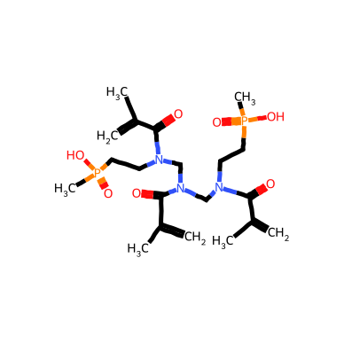 C=C(C)C(=O)N(CCP(C)(=O)O)CN(CN(CCP(C)(=O)O)C(=O)C(=C)C)C(=O)C(=C)C